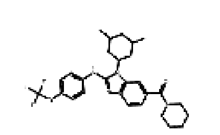 CC1CC(C)CC(n2c(Nc3ccc(OC(F)(F)F)cc3)nc3ccc(C(=O)N4CCCCC4)cc32)C1